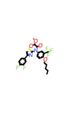 CCCCCOc1ccc(N(C(=O)C(=O)OC)c2nc(-c3ccc(F)c(F)c3)cs2)cc1C(F)(F)F